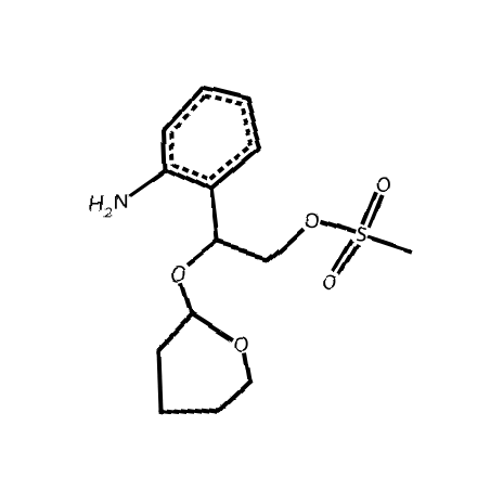 CS(=O)(=O)OCC(OC1CCCCO1)c1ccccc1N